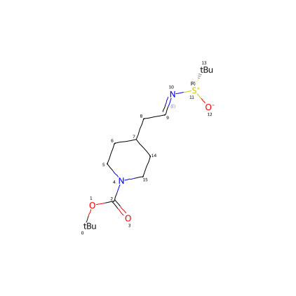 CC(C)(C)OC(=O)N1CCC(C/C=N/[S@@+]([O-])C(C)(C)C)CC1